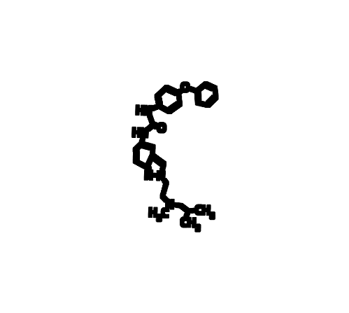 CC(C)CN(C)CCn1cc2cc(NC(=O)Nc3ccc(Oc4ccccc4)cc3)ccc2n1